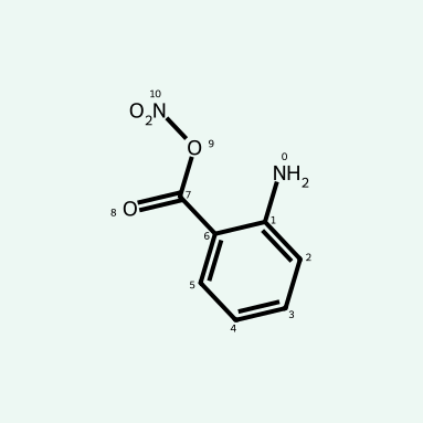 Nc1ccccc1C(=O)O[N+](=O)[O-]